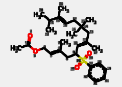 CC(=O)OC/C=C(\C)CC(/C=C(\C)CC(C)(C)C/C=C(\C)C(C)C)S(=O)(=O)c1ccccc1